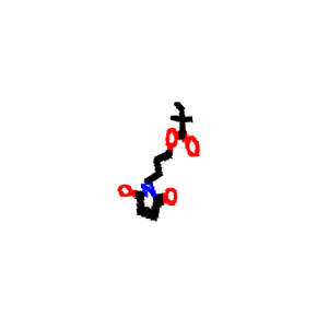 CCC(C)(C)C(=O)OCCCCN1C(=O)C=CC1=O